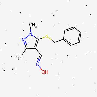 Cn1nc(C(F)(F)F)c(C=NO)c1SCc1ccccc1